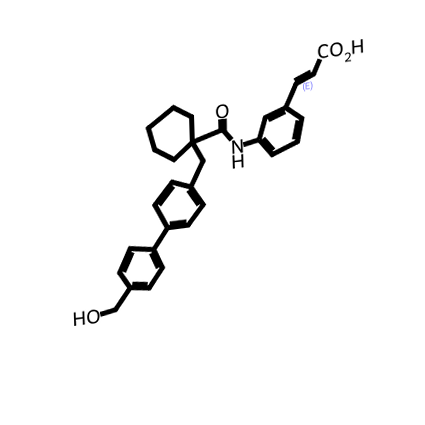 O=C(O)/C=C/c1cccc(NC(=O)C2(Cc3ccc(-c4ccc(CO)cc4)cc3)CCCCC2)c1